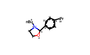 CCCCN1CCOC1c1ccc(C(C)C)cc1